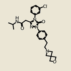 CC(C)NC(=O)Cc1nn(-c2ccc(CCN3CC4(COC4)C3)cc2)c(=O)n1-c1cccc(Cl)c1